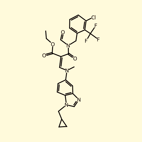 CCOC(=O)/C(=C/N(C)c1ccc2c(c1)ncn2CC1CC1)C(=O)N(C=O)Cc1cccc(Cl)c1C(F)(F)F